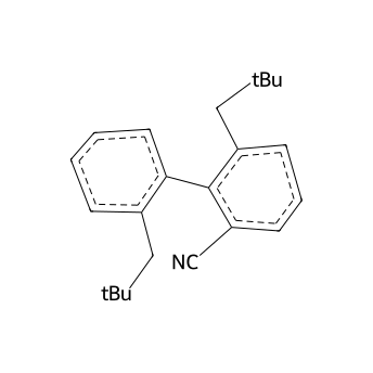 CC(C)(C)Cc1ccccc1-c1c(C#N)cccc1CC(C)(C)C